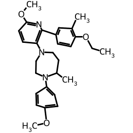 CCOc1ccc(-c2nc(OC)ccc2N2CCC(C)N(c3ccc(OC)cc3)CC2)cc1C